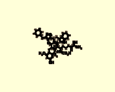 Cc1cc(O)cc(C)c1CC(NC(=O)C(CCCNC(=N)N)NC(=O)O)C(=O)N[C@@H](Cc1c[nH]c2ccccc12)c1nc(Cc2ccccc2)no1